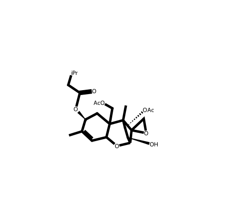 CC(=O)OCC12C[C@H](OC(=O)CC(C)C)C(C)=CC1OC1[C@H](O)[C@@H](OC(C)=O)C2(C)C12CO2